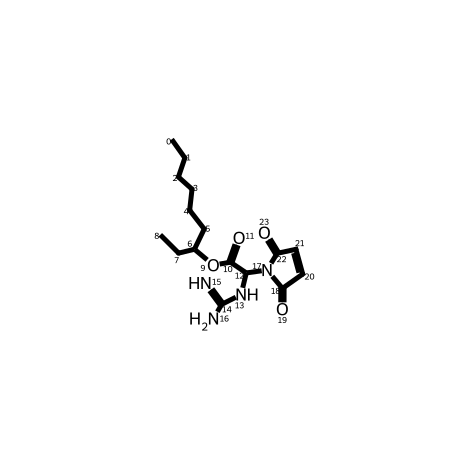 CCCCCCC(CC)OC(=O)C(NC(=N)N)N1C(=O)C=CC1=O